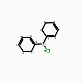 [Cl][Ir]([C]1=CC=CCC1)[C]1=CC=CCC1